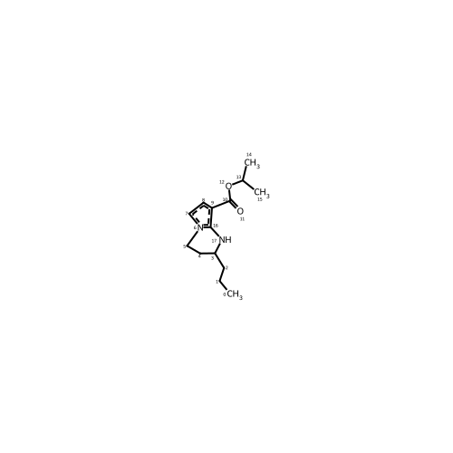 CCCC1CCn2ccc(C(=O)OC(C)C)c2N1